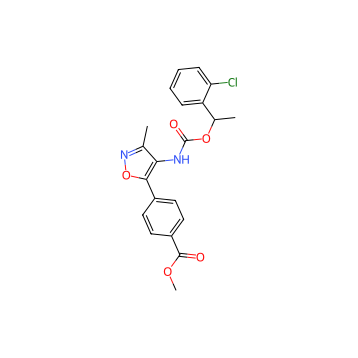 COC(=O)c1ccc(-c2onc(C)c2NC(=O)OC(C)c2ccccc2Cl)cc1